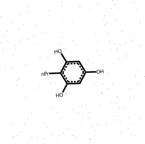 CCCc1c(O)cc(O)cc1O